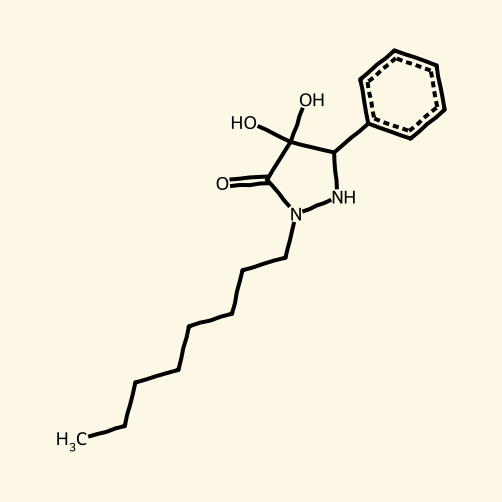 CCCCCCCCN1NC(c2ccccc2)C(O)(O)C1=O